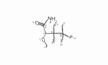 COC(C(N)=O)C(F)(F)C(F)(F)F